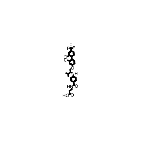 CC(C)C(COc1ccc(-c2ccc(C(F)(F)F)cc2Cl)c(Cl)c1)Nc1ccc(C(=O)NCCC(=O)O)cc1